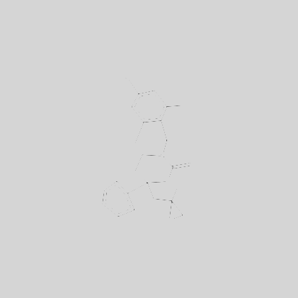 Cc1cc(Br)cc(C)c1CN1CCC(CC2(C)CO2)(c2ccccc2)OC1=O